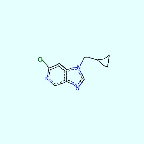 Clc1cc2c(cn1)ncn2CC1CC1